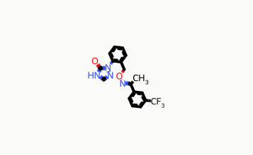 C/C(=N\OCc1ccccc1-n1nc[nH]c1=O)c1cccc(C(F)(F)F)c1